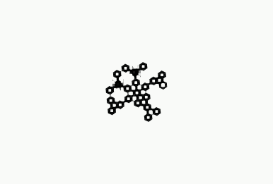 c1ccc(-c2nc(-c3ccccc3)nc(-c3ccc(-c4c(-c5ccc(-c6nc(-c7ccccc7)nc(-c7ccccc7)n6)cc5)c(-c5ccc(-c6ccc7c8ccccc8c8ccccc8c7c6)cc5)c5c6cccc7c8cc(-c9ccccc9)c(-c9ccccc9)cc8c8cccc(c5c4-c4ccc(-c5ccc9c(c5)c5c(c%10ccccc%109)CCCC5)cc4)c8c76)cc3)n2)cc1